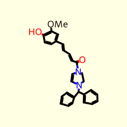 COc1cc(C=CC=CC(=O)N2C=CN(C(c3ccccc3)c3ccccc3)CC2)ccc1O